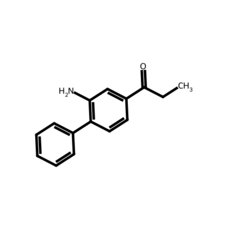 CCC(=O)c1ccc(-c2ccccc2)c(N)c1